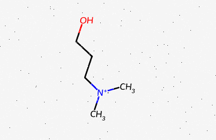 C[N+](C)CCCO